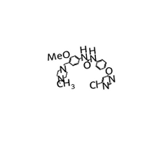 COc1cc(NC(=O)Nc2ccc(Oc3cc(Cl)ncn3)cc2)ccc1CN1CCN(C)CC1